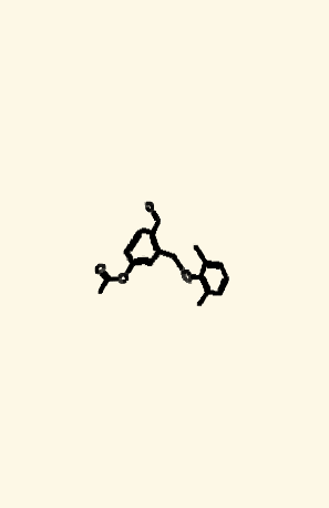 CC(=O)Oc1ccc(C=O)c(COc2c(C)cccc2C)c1